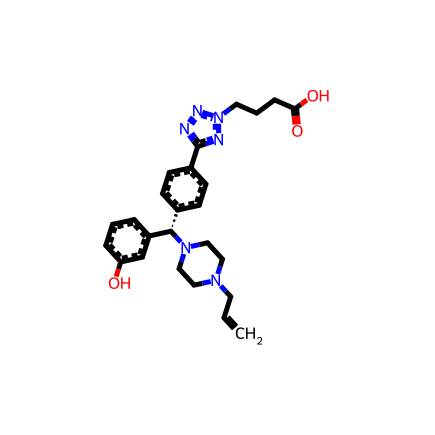 C=CCN1CCN([C@@H](c2ccc(-c3nnn(CCCC(=O)O)n3)cc2)c2cccc(O)c2)CC1